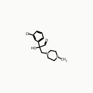 CN1CCN(CC(O)(C=O)c2cccc(Cl)c2)CC1